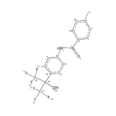 Cc1ccc(C(=O)Nc2ccc(C(O)(C(F)(F)F)C(F)(F)F)cc2)cc1